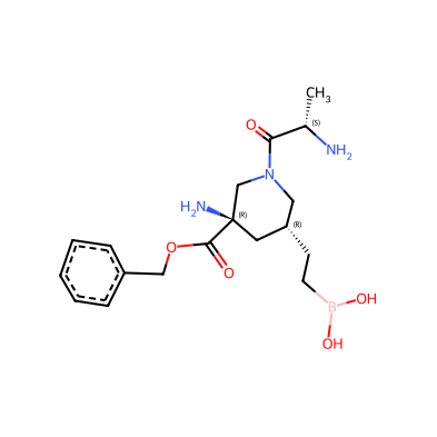 C[C@H](N)C(=O)N1C[C@H](CCB(O)O)C[C@](N)(C(=O)OCc2ccccc2)C1